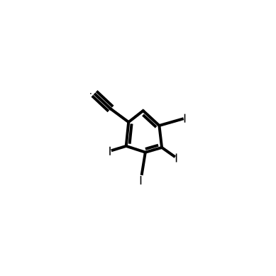 [C]#Cc1cc(I)c(I)c(I)c1I